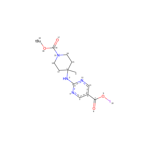 CC1(Nc2ncc(C(=O)OI)cn2)CCN(C(=O)OC(C)(C)C)CC1